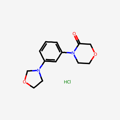 Cl.O=C1COCCN1c1cccc(N2CCOC2)c1